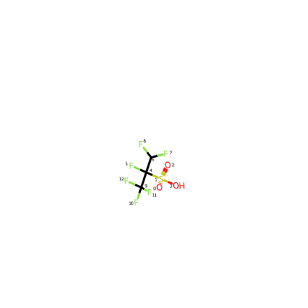 O=S(=O)(O)C(F)(C(F)F)C(F)(F)F